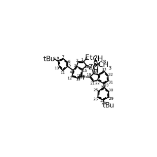 CCC1=Cc2c(-c3ccc(C(C)(C)C)cc3)cccc2[CH]1[Zr]([CH]1C(C(C)C)=Cc2c(-c3ccc(C(C)(C)C)cc3)cccc21)[SiH](C)C